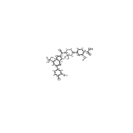 COc1nc(N2CCN(C(=O)c3cc4nc(-c5ccc(Cl)c(F)c5)cc(C(C)(C)C)c4o3)C(C)(C)C2)ccc1C(=O)O